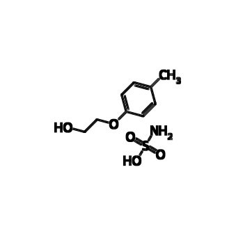 Cc1ccc(OCCO)cc1.NS(=O)(=O)O